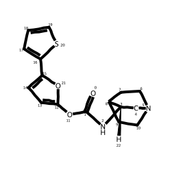 O=C(N[C@H]1CN2CCC1CC2)Oc1ccc(-c2cccs2)o1